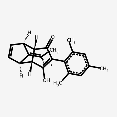 CC(C)=C1[C@H]2C=C[C@@H]1[C@H]1C(O)=C(c3c(C)cc(C)cc3C)C(=O)[C@H]12